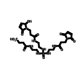 O=C(O)CCC(=O)NCCNP(=O)(NCCNC(=O)CCN1C(=O)C=CC1=O)NCCNC(=O)CCN1C(=O)C=CC1O